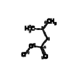 CC(C)CC(=O)OCl